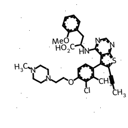 CC#Cc1sc2ncnc(NC(Cc3ccccc3OC)C(=O)O)c2c1-c1ccc(OCCN2CCN(C)CC2)c(Cl)c1C